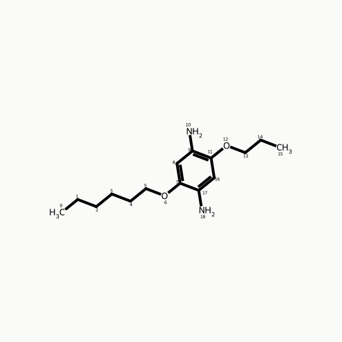 CCCCCCOc1cc(N)c(OCCC)cc1N